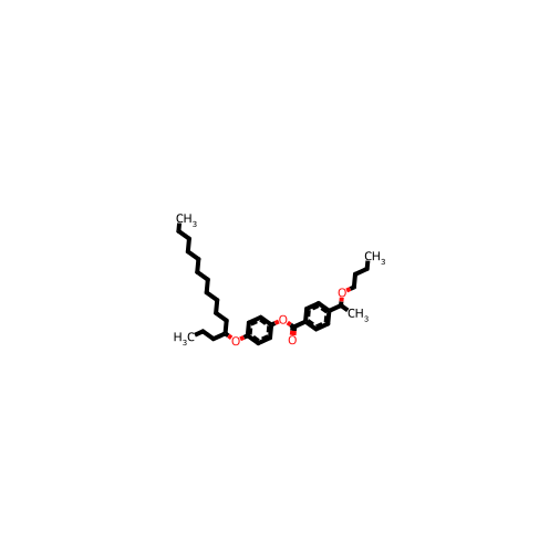 CCCCCCCCCCCC(CCC)Oc1ccc(OC(=O)c2ccc(C(C)OCCCC)cc2)cc1